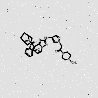 CN1CCN(C(=O)Cn2cc(Nc3nc4c(N5CC6CCC(C5)N6C(=O)c5ccccc5Cl)cccn4n3)cn2)CC1